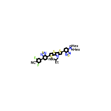 CCCCCCN(CCCCCC)c1ccc(-c2cc3c(s2)c2sc4cc(-c5ccc(-c6cc(F)c(C#N)c(F)c6)c6nsnc56)sc4c2n3CC(CC)CCCC)c2nsnc12